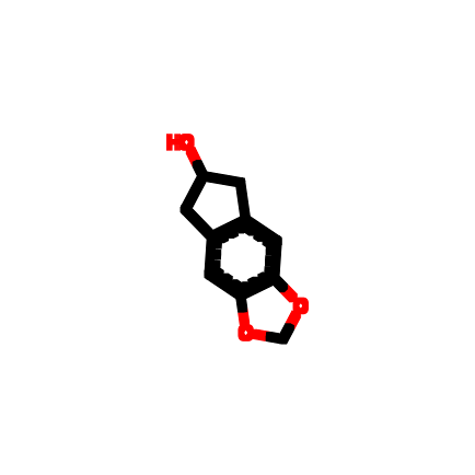 OC1Cc2cc3c(cc2C1)OCO3